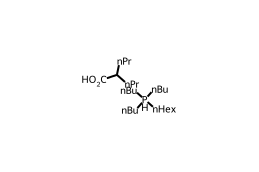 CCCC(CCC)C(=O)O.CCCCCC[PH](CCCC)(CCCC)CCCC